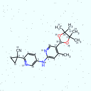 Cc1cc(Nc2ccc(C3(C#N)CC3)nc2)ncc1B1OC(C)(C)C(C)(C)O1